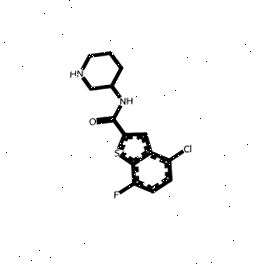 O=C(NC1CCCNC1)c1cc2c(Cl)ccc(F)c2s1